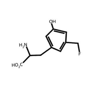 NC(Cc1cc(O)cc(CF)c1)C(=O)O